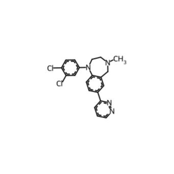 CN1CCN(c2ccc(Cl)c(Cl)c2)c2ccc(-c3cccnn3)cc2C1